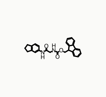 O=C(CNC(=O)OCC1c2ccccc2-c2ccccc21)Nc1ccc2c(c1)CCC2